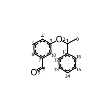 CC(Oc1cccc(C=O)c1)c1ccccc1